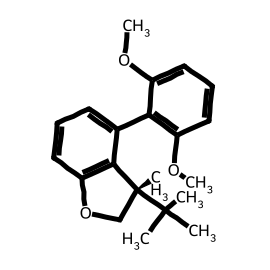 COc1cccc(OC)c1-c1cccc2c1[C@](C)(C(C)(C)C)CO2